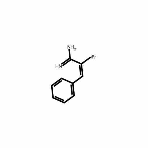 CC(C)/C(=C/c1ccccc1)C(=N)N